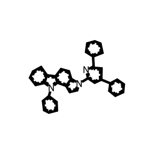 c1ccc(-c2cc(-c3ccccc3)nc(-n3ccc4c3ccc3c5ccccc5n(-c5ccccc5)c34)c2)cc1